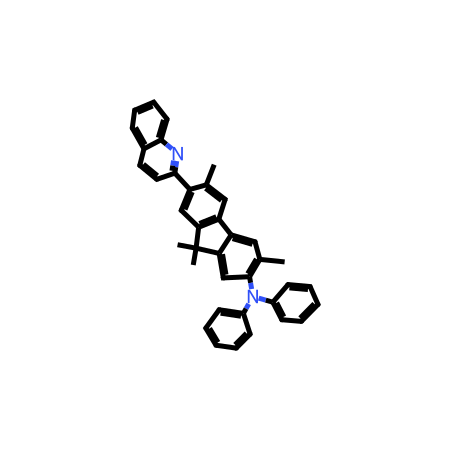 Cc1cc2c(cc1-c1ccc3ccccc3n1)C(C)(C)c1cc(N(c3ccccc3)c3ccccc3)c(C)cc1-2